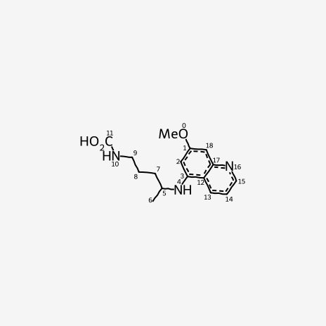 COc1cc(NC(C)CCCNC(=O)O)c2cccnc2c1